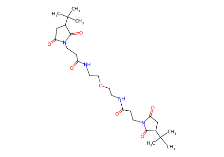 CC(C)(C)C1CC(=O)N(CCC(=O)NCCOCCNC(=O)CCN2C(=O)CC(C(C)(C)C)C2=O)C1=O